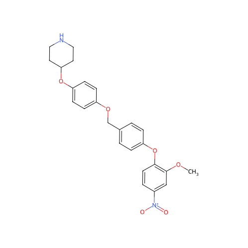 COc1cc([N+](=O)[O-])ccc1Oc1ccc(COc2ccc(OC3CCNCC3)cc2)cc1